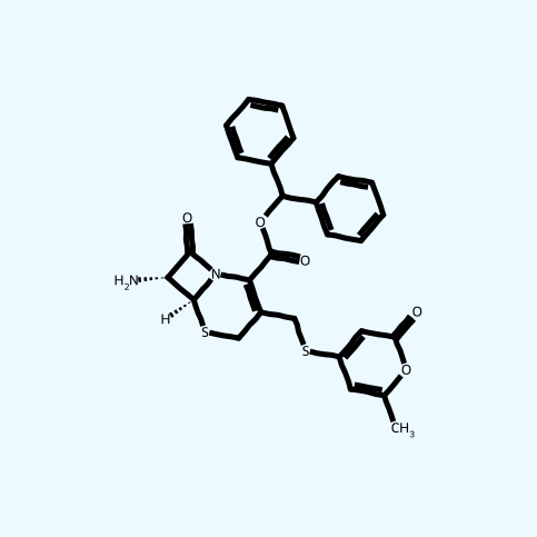 Cc1cc(SCC2=C(C(=O)OC(c3ccccc3)c3ccccc3)N3C(=O)[C@@H](N)[C@@H]3SC2)cc(=O)o1